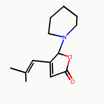 CC(C)=CC1=CC(=O)OC1N1CCCCC1